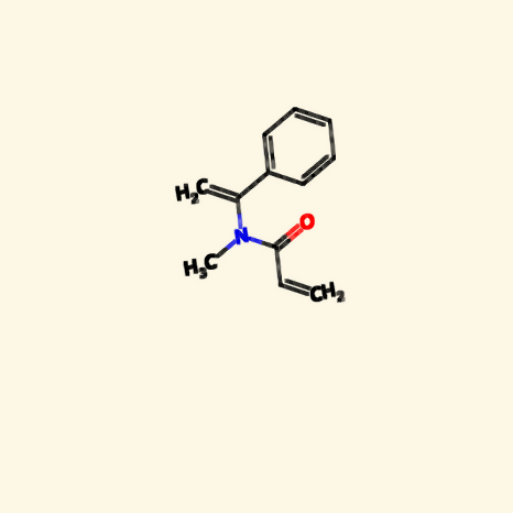 C=CC(=O)N(C)C(=C)c1ccccc1